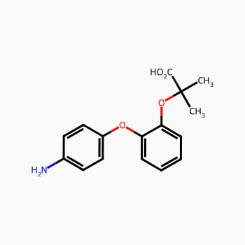 CC(C)(Oc1ccccc1Oc1ccc(N)cc1)C(=O)O